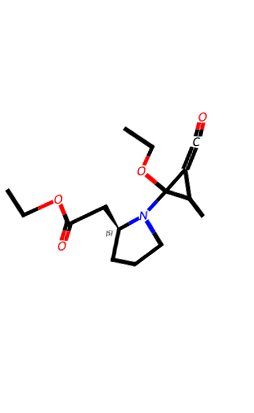 CCOC(=O)C[C@@H]1CCCN1C1(OCC)C(=C=O)C1C